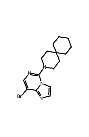 Brc1cnc(N2CCC3(CCCCC3)CC2)n2ccnc12